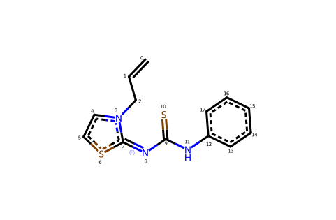 C=CCn1ccs/c1=N/C(=S)Nc1ccccc1